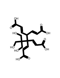 O=C(O)C=CC(C=CC(=O)O)C(C=CC(=O)O)(C=CC(=O)O)C(CO)(CO)CO